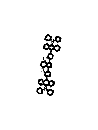 C1=CC(N(c2ccccc2)c2c3ccccc3c(-c3ccc4c(c3)Oc3ccc5c6c(ccc-4c36)C3=C(C=C(c4c6ccccc6c(N(c6ccccc6)c6ccccc6)c6ccccc46)CC3)O5)c3ccccc23)=CCC1